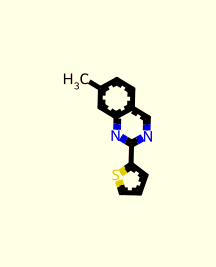 Cc1ccc2cnc(-c3cccs3)nc2c1